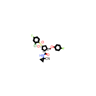 N#CC1(NC(=O)[C@@H]2C[C@@H](S(=O)(=O)c3ccc(F)cc3Cl)C[C@H]2COc2ccc(F)cc2)CC1